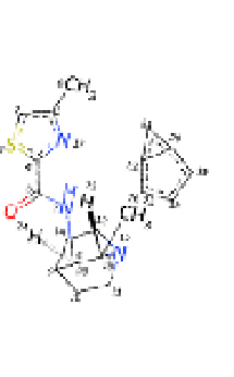 Cc1csc(C(=O)N[C@@H]2C3CCN(CC3)[C@H]2C)n1.c1cc2cc-2c1